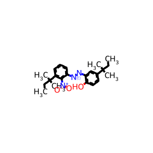 CCC(C)(C)c1ccc(O)c(/N=N/c2cccc(C(C)(C)CC)c2[N+](=O)[O-])c1